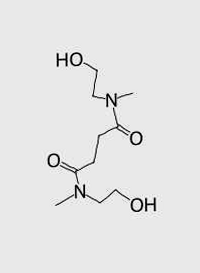 CN(CCO)C(=O)CCC(=O)N(C)CCO